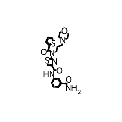 NC(=O)c1cccc(NC(=O)c2csc(N(CCCN3CCOCC3)C(=O)c3cccs3)n2)c1